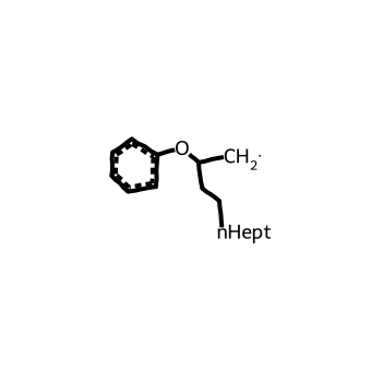 [CH2]C(CCCCCCCCC)Oc1ccccc1